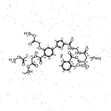 BOC(=O)COc1cc(-c2ccc(C(=O)NCNC(=O)[C@H](CCCCC)[C@@H](CC)N(C=O)OC(=O)c3c(C)cccc3F)o2)ccc1C(=O)N[C@@H](CC(=O)OB)C(=O)OBC